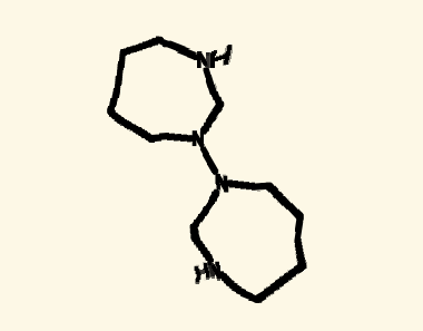 C1CCN(N2CCCCNC2)CNC1